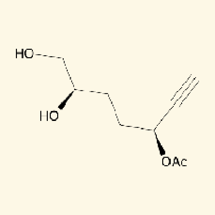 C#C[C@H](CC[C@@H](O)CO)OC(C)=O